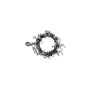 CC[C@@H]1NC(=O)[C@H]([C@H](O)[C@H](C)CCO)N(C)C(=O)[C@H](C(C)C)N(C)C(=O)[C@H](CC(C)C)N(C)C(=O)[C@H](CC(C)C)NC(=O)[C@@H](C)NC(=O)[C@H](C)NC(=O)[C@H](CC(C)C)N(C)C(=O)[C@H](C(C)C)NC(=O)[C@H]([C@@H](C)OCCCCN2CCOCC2)N(C)C(=O)[C@@H](C)N(C)C1=O